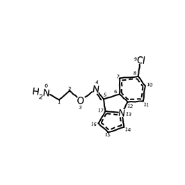 NCCON=C1c2cc(Cl)ccc2-n2cccc21